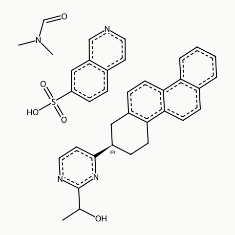 CC(O)c1nccc([C@@H]2CCc3c(ccc4c3ccc3ccccc34)C2)n1.CN(C)C=O.O=S(=O)(O)c1ccc2ccncc2c1